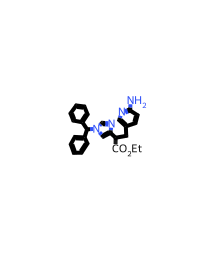 CCOC(=O)C(Cc1ccc(N)nc1)c1cn(C(c2ccccc2)c2ccccc2)cn1